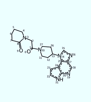 O=C(CN1CCCCC1=O)N1CCC(n2cnc3cnc4[nH]ccc4c32)CC1